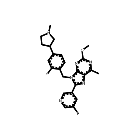 COc1nc(C)c2nc(-c3cncc(F)c3)n(Cc3ccc(C4CCN(C)C4)cc3F)c2n1